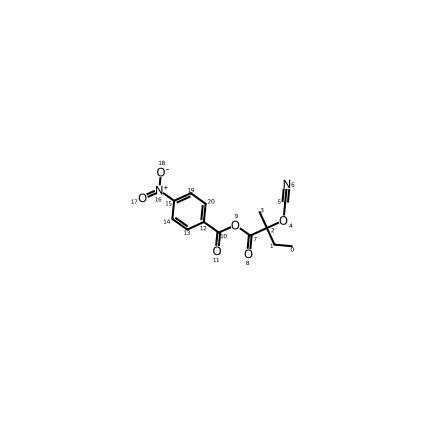 CCC(C)(OC#N)C(=O)OC(=O)c1ccc([N+](=O)[O-])cc1